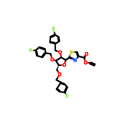 C#COC(=O)c1csc(C2O[C@H](COCc3ccc(F)cc3)[C@@H](OCc3ccc(F)cc3)[C@H]2OCc2ccc(F)cc2)n1